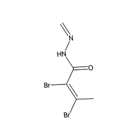 C=NNC(=O)/C(Br)=C(\C)Br